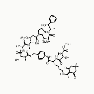 CC[C@@H](C)[C@H](N(CC(=O)N1CCC[C@@H]1[C@@H](OC)[C@H](C)C(=O)N[C@@H](C)[C@H](O)c1ccccc1)OC)N(C)C(=O)[C@H](NC(=O)[C@@H](C(C)C)N(C)C(=O)OCc1ccc(NC(=O)[C@@H](CCCCNC(C)=C2C(=O)CC(C)(C)CC2=O)NC(=O)[C@H](NC(=O)OC(C)(C)C)C(C)C)cc1)C(C)C